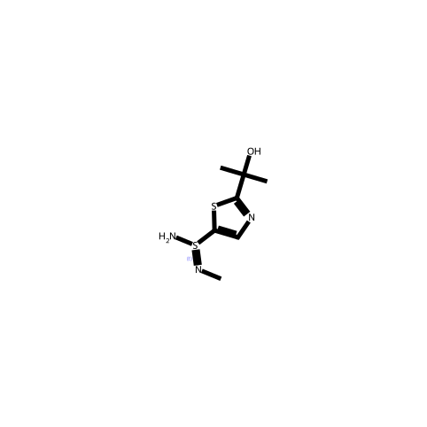 C/N=S(/N)c1cnc(C(C)(C)O)s1